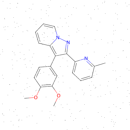 COc1ccc(-c2c(-c3cccc(C)n3)nn3ccccc23)cc1OC